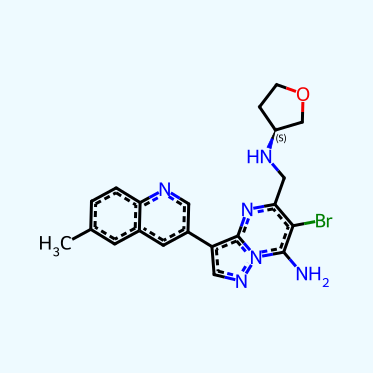 Cc1ccc2ncc(-c3cnn4c(N)c(Br)c(CN[C@H]5CCOC5)nc34)cc2c1